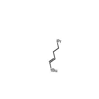 [CH2]C(C)CCC=CC(C)(C)C